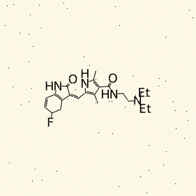 CCN(CC)CCNC(=O)c1c(C)[nH]c(/C=C2\C(=O)NC3=C2CC(F)C=C3)c1C